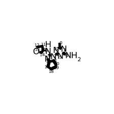 Cc1nc(N)nc(-n2c(N[C@@H]3CCOC3)nc3ccccc32)n1